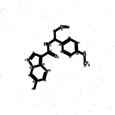 COCC(NC(=O)c1cnn2cc(C)cnc12)c1ccc(OC(F)(F)F)cc1